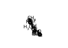 [3H][C@H](C[C@@H]1OC(C[C@H](C)CC)[C@H](C)[C@H]1CS(=O)(=O)c1ccccc1)C(=C)[C@H](C)CC1CC[C@@H]2O[C@@H](C)C[C@]2(CC)O1